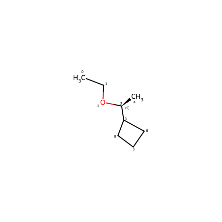 CCO[C@@H](C)C1CCC1